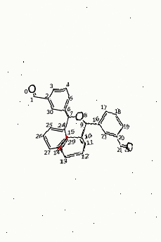 O=Cc1cccc(C(OC(c2ccccc2)c2cccc(C=O)c2)c2ccccc2)c1